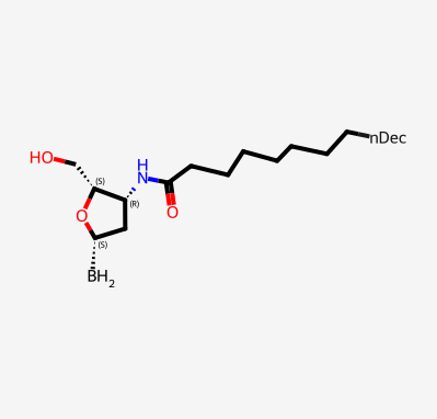 B[C@H]1C[C@@H](NC(=O)CCCCCCCCCCCCCCCCC)[C@@H](CO)O1